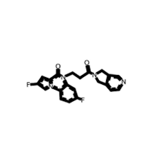 O=C(CCn1c(=O)c2cc(F)cn2c2ccc(F)cc21)N1Cc2ccncc2C1